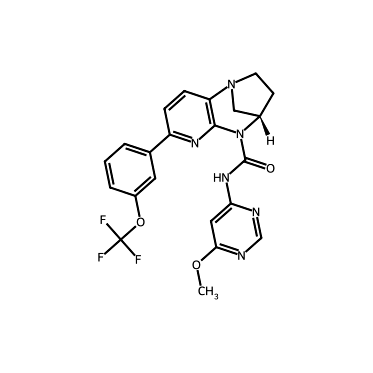 COc1cc(NC(=O)N2c3nc(-c4cccc(OC(F)(F)F)c4)ccc3N3CC[C@H]2C3)ncn1